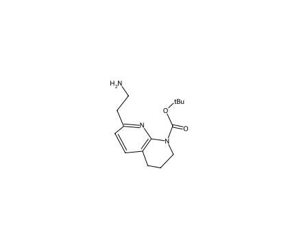 CC(C)(C)OC(=O)N1CCCc2ccc(CCN)nc21